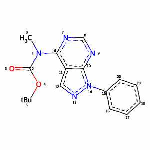 CN(C(=O)OC(C)(C)C)c1ncnc2c1cnn2-c1ccccc1